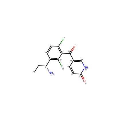 CC[C@@H](N)c1ccc(Cl)c(C(=O)c2ccc(=O)[nH]c2)c1F